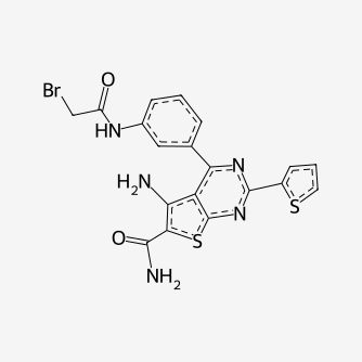 NC(=O)c1sc2nc(-c3cccs3)nc(-c3cccc(NC(=O)CBr)c3)c2c1N